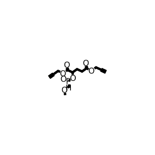 C#CCOC(=O)CCC(O[PH](=O)COC)C(=O)OCC#C